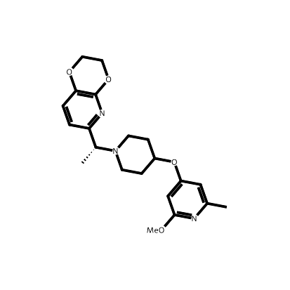 COc1cc(OC2CCN([C@H](C)c3ccc4c(n3)OCCO4)CC2)cc(C)n1